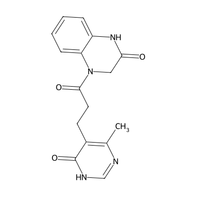 Cc1nc[nH]c(=O)c1CCC(=O)N1CC(=O)Nc2ccccc21